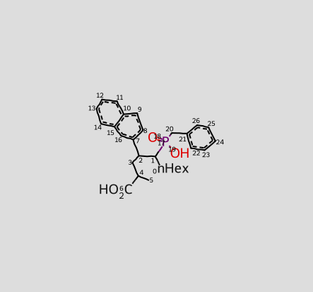 CCCCCCC(C(CC(C)C(=O)O)c1ccc2ccccc2c1)P(=O)(O)Cc1ccccc1